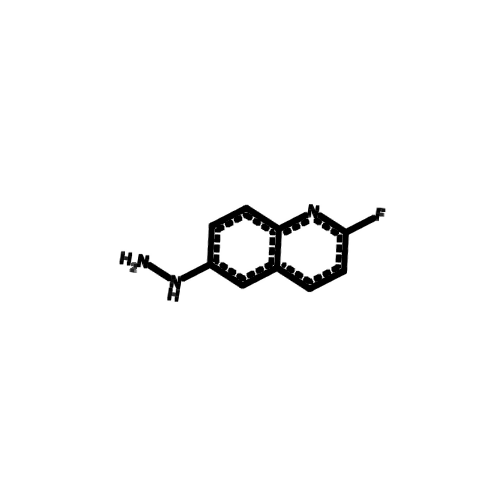 NNc1ccc2nc(F)ccc2c1